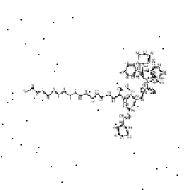 CCCCCCCCCCCCCCCCCC(=O)OC(CC)C(=CC(=O)OCc1ccccc1)COC(=O)[C@@H](NC(c1ccccc1)(c1ccccc1)c1ccccc1)C(C)C